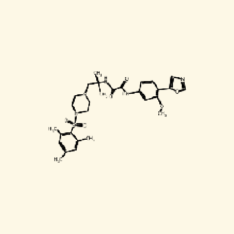 COc1cc(NC(=O)C(=O)NC(C)(C)CN2CCN(S(=O)(=O)c3c(C)cc(C)cc3C)CC2)ccc1-c1cnco1